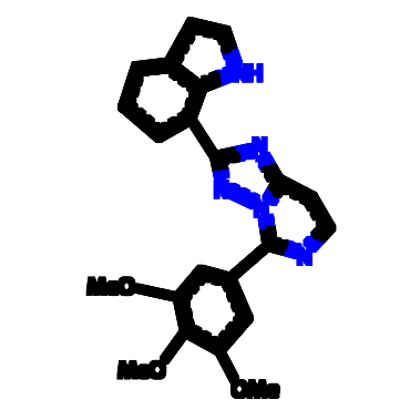 COc1cc(-c2nccc3nc(-c4cccc5cc[nH]c45)nn23)cc(OC)c1OC